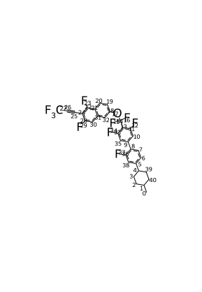 CC1CCC(c2ccc(-c3cc(F)c(C(F)(F)Oc4ccc5c(F)c(C#CC(F)(F)F)c(F)cc5c4)c(F)c3)c(F)c2)CC1